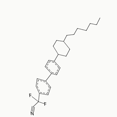 CCCCCCCC1CCC(c2ccc(-c3ccc(C(F)(F)C#N)cc3)cc2)CC1